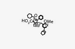 COc1ncc(C2CC3CCC2C3)cc1CO[C@H]1[C@H](C(C)(C)C)[C@@H](C(=O)O)N(C(=O)C2CCCCC2)[C@H]1c1ccccc1